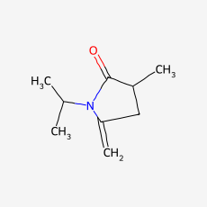 C=C1CC(C)C(=O)N1C(C)C